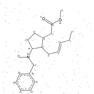 CC/C=C/CC1C(CC(=O)OC)CCC1N(C)Cc1ccccc1